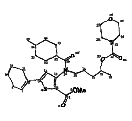 COC(=O)c1sc(C2=CCCCC2)cc1N(CCCC(C)OC(=O)N1CCOCC1)C(=O)C1CCC(C)CC1